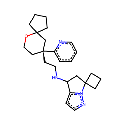 c1ccc([C@]2(CCNC3CC4(CCC4)n4nccc43)CCOC3(CCCC3)C2)nc1